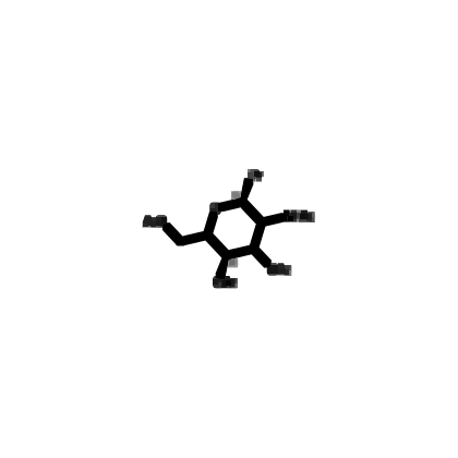 CC(=O)NC1C(OC(C)=O)[C@@H](OC(C)=O)C(COC(C)=O)O[C@H]1C(C)C